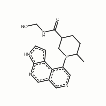 CC1CCC(C(=O)NCC#N)CN1c1cncc2cnc3[nH]ccc3c12